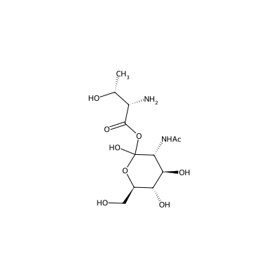 CC(=O)N[C@@H]1[C@@H](O)[C@H](O)[C@@H](CO)OC1(O)OC(=O)[C@@H](N)[C@@H](C)O